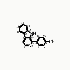 Clc1ccc(-c2nccc3c2[nH]c2ccccc23)cc1